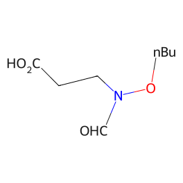 CCCCON(C=O)CCC(=O)O